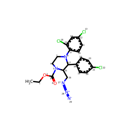 CCOC(=O)N1CCN(c2ccc(Cl)cc2Cl)C(c2ccc(Cl)cc2)C1CN=[N+]=[N-]